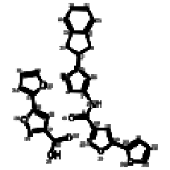 O=C(Nc1cnn(C2Cc3ccccc3C2)c1)c1cc(-c2ccco2)on1.O=C(O)c1cc(-c2ccco2)on1